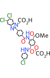 COC(=O)c1cc(OCC(=O)O)c(C(=O)Nc2ccc(Cl)cc2)cc1NC(=O)c1ccc(-c2nc3cc(Cl)c(Cl)cc3n2CC(=O)O)cc1